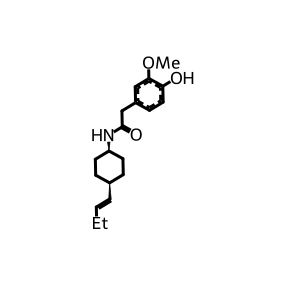 CC/C=C/[C@H]1CC[C@@H](NC(=O)Cc2ccc(O)c(OC)c2)CC1